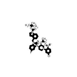 CC(=O)O[C@H]1CN(c2cc(Cl)ccc2[N+](=O)[O-])CC[C@@H]1n1c(=N)n(Cc2cccc3c2ccn3C(=O)OC(C)(C)C)c2ccc(F)cc21